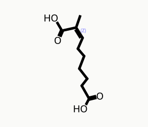 C/C(=C/CCCCCC(=O)O)C(=O)O